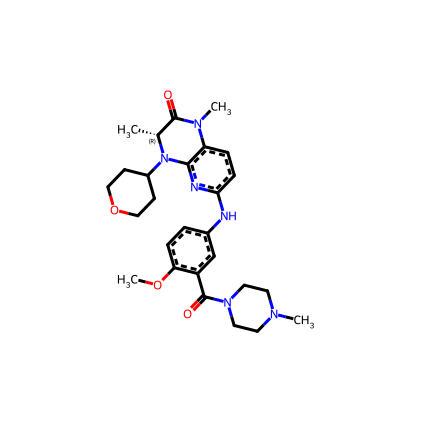 COc1ccc(Nc2ccc3c(n2)N(C2CCOCC2)[C@H](C)C(=O)N3C)cc1C(=O)N1CCN(C)CC1